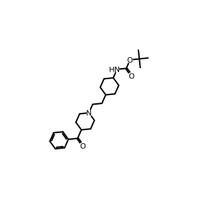 CC(C)(C)OC(=O)NC1CCC(CCN2CCC(C(=O)c3ccccc3)CC2)CC1